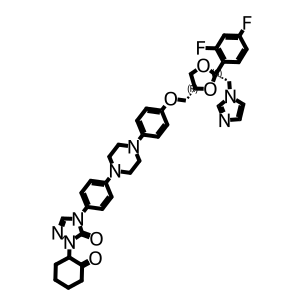 O=C1CCCCC1n1ncn(-c2ccc(N3CCN(c4ccc(OC[C@@H]5CO[C@@](Cn6ccnc6)(c6ccc(F)cc6F)O5)cc4)CC3)cc2)c1=O